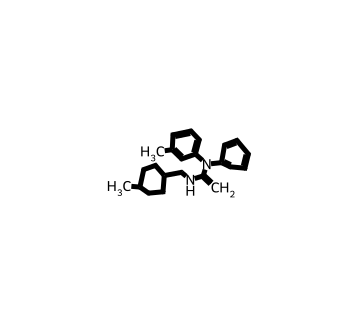 C=C(NCC1CCC(C)CC1)N(c1ccccc1)c1cccc(C)c1